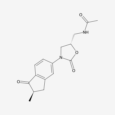 CC(=O)NC[C@H]1CN(c2ccc3c(c2)C[C@@H](C)C3=O)C(=O)O1